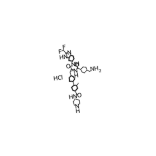 Cc1cc(C(=O)NC2CCNCC2)ccc1-c1ccc(C[C@H](NC(=O)C2CCC(CN)CC2)C(=O)Nc2ccc3nc(C(F)F)[nH]c3c2)cc1.Cl